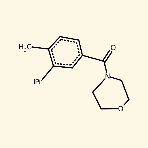 Cc1ccc(C(=O)N2CCOCC2)cc1C(C)C